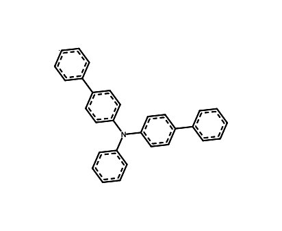 [c]1ccc(-c2ccc(N(c3ccccc3)c3ccc(-c4ccccc4)cc3)cc2)cc1